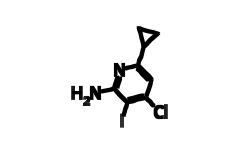 Nc1nc(C2CC2)cc(Cl)c1I